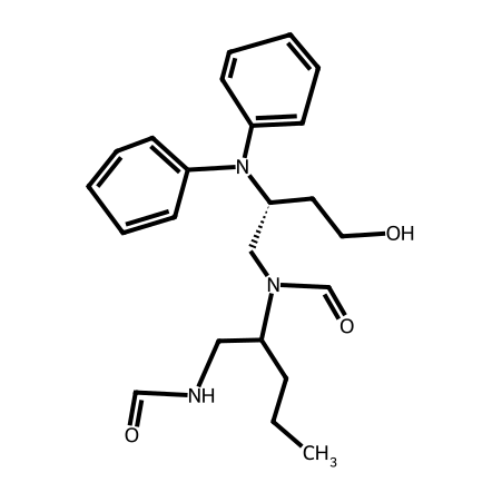 CCCC(CNC=O)N(C=O)C[C@@H](CCO)N(c1ccccc1)c1ccccc1